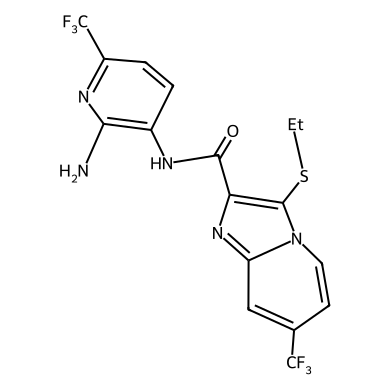 CCSc1c(C(=O)Nc2ccc(C(F)(F)F)nc2N)nc2cc(C(F)(F)F)ccn12